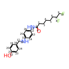 O=C(CCCCC[C@@H](F)CF)Nc1ccc(NCc2ccc(O)cc2)cc1